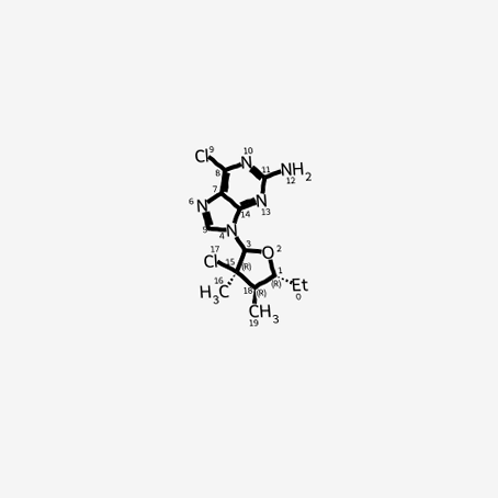 CC[C@H]1OC(n2cnc3c(Cl)nc(N)nc32)[C@](C)(Cl)[C@@H]1C